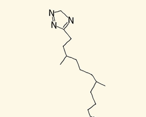 CC(C)CCCC(C)CCCC(C)CCC1=NCN=N1